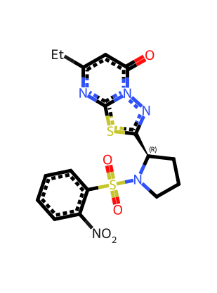 CCc1cc(=O)n2nc([C@H]3CCCN3S(=O)(=O)c3ccccc3[N+](=O)[O-])sc2n1